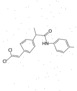 Cc1ccc(NC(=O)C(C)c2ccc(C=C(Cl)Cl)cc2)cc1